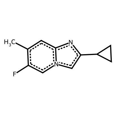 Cc1cc2nc(C3CC3)cn2cc1F